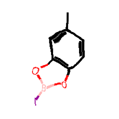 Cc1ccc2c(c1)OB(I)O2